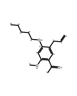 C=CCc1cc(C(C)=O)c(OC)cc1OCCCCC